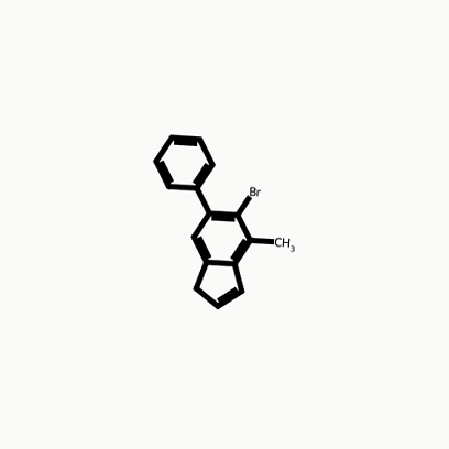 Cc1c(Br)c(-c2ccccc2)cc2c1C=CC2